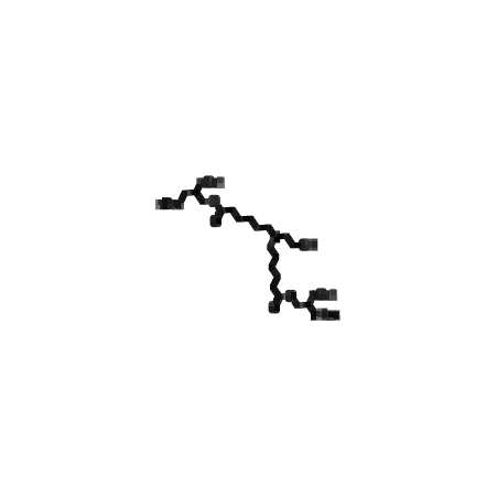 CCCCCCCCCCCC(CCCCCCCC)COC(=O)CCCCCN(CCO)CCCCCC(=O)OCC(CCCCCC)CCCCCCCC